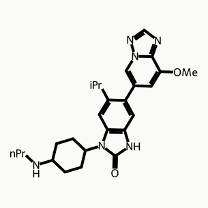 CCCNC1CCC(n2c(=O)[nH]c3cc(-c4cc(OC)c5ncnn5c4)c(C(C)C)cc32)CC1